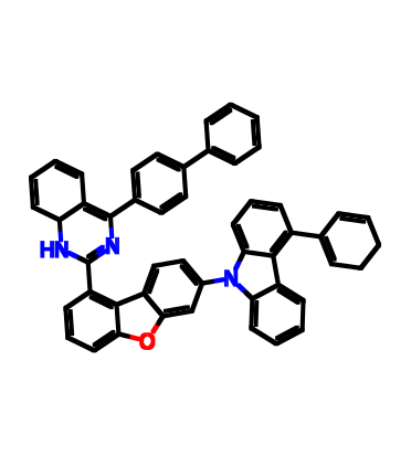 C1=CC2=C(c3ccc(-c4ccccc4)cc3)N=C(c3cccc4oc5cc(-n6c7ccccc7c7c(C8=CCCC=C8)cccc76)ccc5c34)NC2C=C1